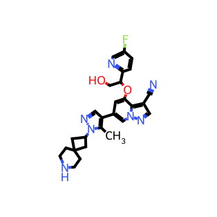 Cc1c(-c2cc(OC(CO)c3ccc(F)cn3)c3c(C#N)cnn3c2)cnn1C1CC2(CCNCC2)C1